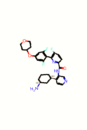 N[C@H]1CCC[C@@H](c2ccncc2NC(=O)c2ccc(F)c(-c3c(F)cc(OC4CCOCC4)cc3F)n2)C1